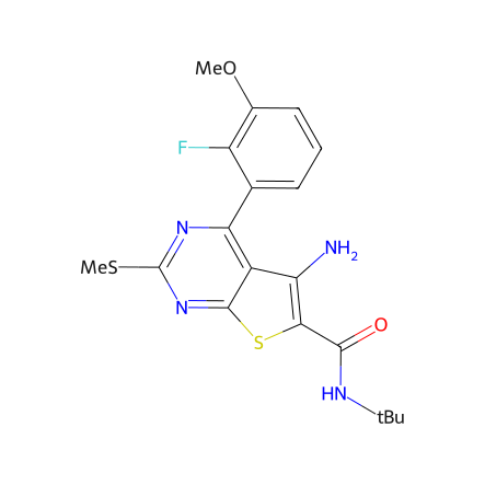 COc1cccc(-c2nc(SC)nc3sc(C(=O)NC(C)(C)C)c(N)c23)c1F